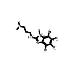 CN(C)CCCNc1nc2c(Br)c(Br)c(Br)c(Br)c2n1C